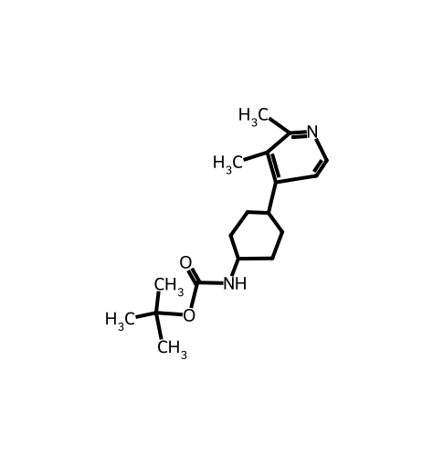 Cc1nccc(C2CCC(NC(=O)OC(C)(C)C)CC2)c1C